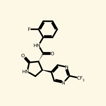 O=C1NC[C@H](c2cnc(C(F)(F)F)nc2)[C@H]1C(=O)Nc1ccccc1F